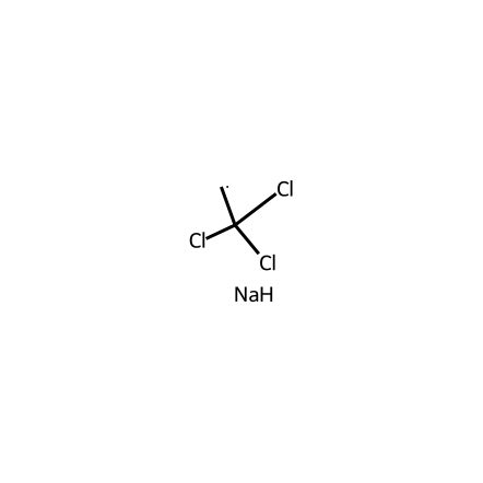 [CH2]C(Cl)(Cl)Cl.[NaH]